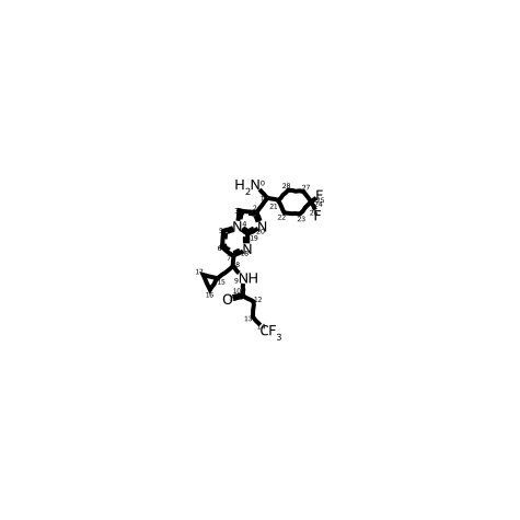 NC(c1cn2ccc(C(NC(=O)CCC(F)(F)F)C3CC3)nc2n1)C1CCC(F)(F)CC1